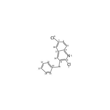 Clc1ccc2nc(Cl)c(Cc3ccccc3)cc2c1